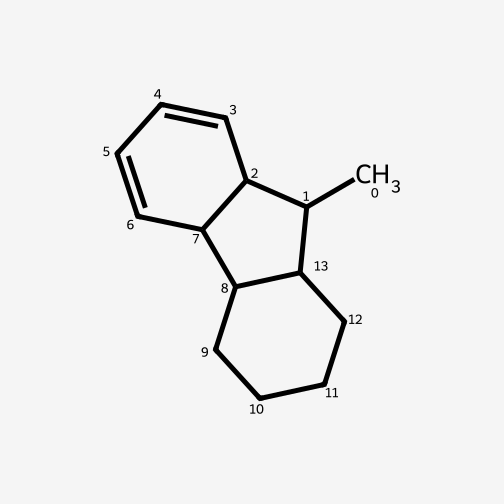 CC1C2C=CC=CC2C2CCCCC12